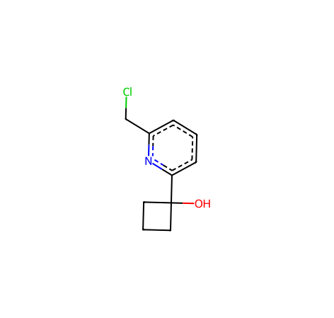 OC1(c2cccc(CCl)n2)CCC1